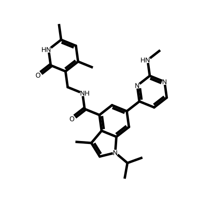 CNc1nccc(-c2cc(C(=O)NCc3c(C)cc(C)[nH]c3=O)c3c(C)cn(C(C)C)c3c2)n1